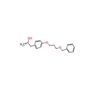 C[C@@H](O)Cc1ccc(OCCCOCc2ccccc2)cc1